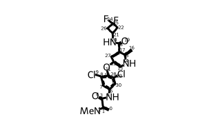 C=C(NC)C(=O)Nc1cc(Cl)c(OC2=CNC(=C)C(C(=O)NC3CC(F)(F)C3)=C2)c(Cl)c1